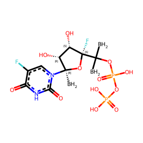 BC(B)(OP(=O)(O)OP(=O)(O)O)[C@@]1(F)O[C@@](B)(n2cc(F)c(=O)[nH]c2=O)[C@H](O)[C@@H]1O